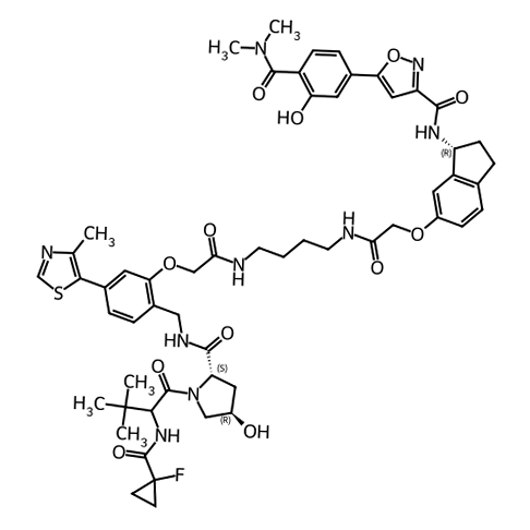 Cc1ncsc1-c1ccc(CNC(=O)[C@@H]2C[C@@H](O)CN2C(=O)C(NC(=O)C2(F)CC2)C(C)(C)C)c(OCC(=O)NCCCCNC(=O)COc2ccc3c(c2)[C@H](NC(=O)c2cc(-c4ccc(C(=O)N(C)C)c(O)c4)on2)CC3)c1